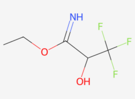 CCOC(=N)C(O)C(F)(F)F